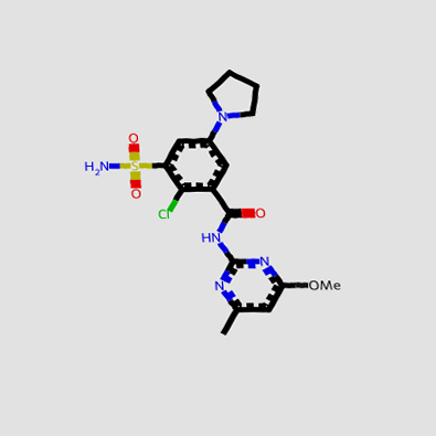 COc1cc(C)nc(NC(=O)c2cc(N3CCCC3)cc(S(N)(=O)=O)c2Cl)n1